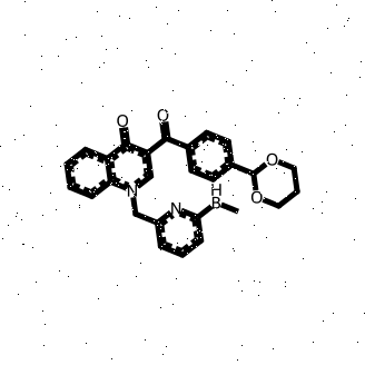 CBc1cccc(Cn2cc(C(=O)c3ccc(C4OCCCO4)cc3)c(=O)c3ccccc32)n1